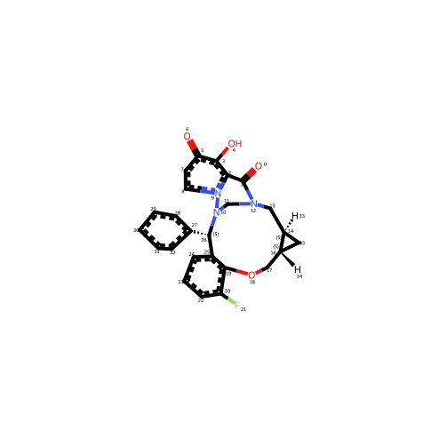 O=C1c2c(O)c(=O)ccn2N2CN1C[C@H]1C[C@@H]1COc1c(F)cccc1[C@@H]2c1ccccc1